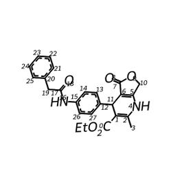 CCOC(=O)C1=C(C)NC2=C(C(=O)OC2)C1c1ccc(NC(=O)Cc2ccccc2)cc1